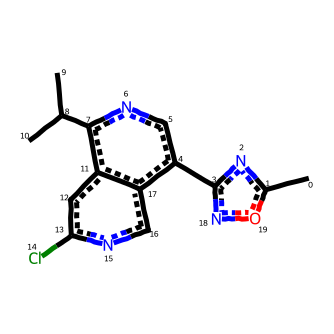 Cc1nc(-c2cnc(C(C)C)c3cc(Cl)ncc23)no1